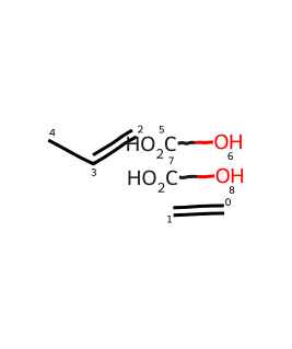 C=C.C=CC.O=C(O)O.O=C(O)O